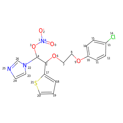 O=[N+]([O-])OC([C](OCCOc1ccc(Cl)cc1)c1cccs1)n1ccnc1